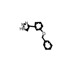 c1ccc(COc2cccc(-c3c[nH]nn3)c2)cc1